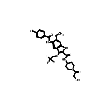 CCc1nc2[nH]c(C(=O)NC3CCN(C(=O)CO)CC3)c(OCC(F)(F)F)c2cc1NC(=O)c1ccc(Cl)cc1